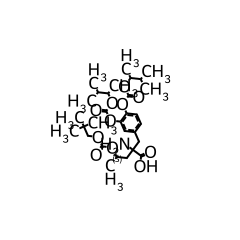 CC(C)C(C)OC(=O)Oc1ccc(CC(N)(C[C@H](C)OC(=O)OCC(C)(C)C)C(=O)O)cc1OC(=O)OC(C)C(C)C